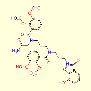 NC(=O)CN(CCCN(CCCn1oc2c(O)cccc2c1=O)C(=O)c1cccc(OO)c1OC(=O)O)C(=O)c1cccc(OC=O)c1OC(=O)O